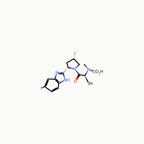 CC(C)[C@@H](C(=O)N1C[C@@H](C)C[C@H]1c1nc2cc(I)ccc2[nH]1)N(C)C(=O)O